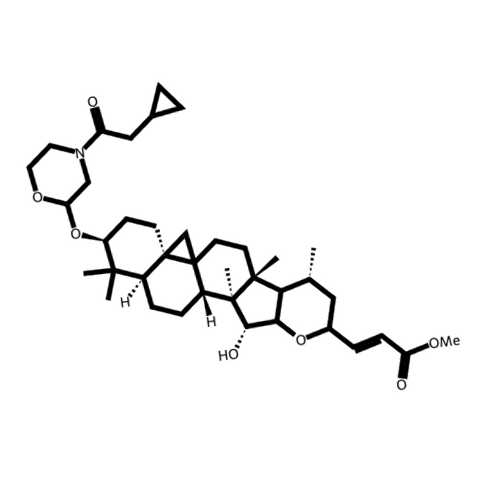 COC(=O)/C=C/C1C[C@@H](C)C2C(O1)[C@H](O)[C@@]1(C)[C@@H]3CC[C@H]4C(C)(C)[C@@H](OC5CN(C(=O)CC6CC6)CCO5)CC[C@@]45CC35CC[C@]21C